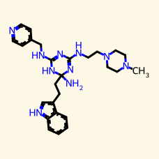 CN1CCN(CCNC2=NC(N)(CCc3c[nH]c4ccccc34)NC(NCc3ccncc3)=N2)CC1